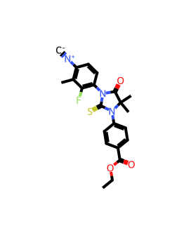 [C-]#[N+]c1ccc(N2C(=O)C(C)(C)N(c3ccc(C(=O)OCC)cc3)C2=S)c(F)c1C